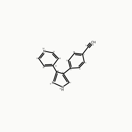 C#Cc1ccc(-c2c[nH]nc2-c2ccncc2)cc1